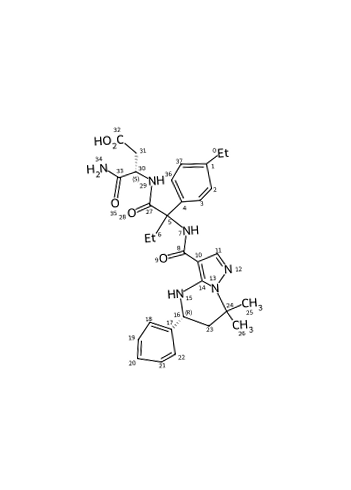 CCc1ccc(C(CC)(NC(=O)c2cnn3c2N[C@@H](c2ccccc2)CC3(C)C)C(=O)N[C@@H](CC(=O)O)C(N)=O)cc1